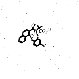 CC(C)(NC(=O)c1ccc2ccccc2c1OCc1ccc(Br)cc1F)C(=O)O